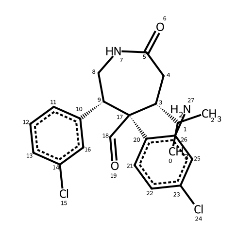 CC(C)[C@H]1CC(=O)NC[C@@H](c2cccc(Cl)c2)[C@@]1(C=O)c1ccc(Cl)cc1N